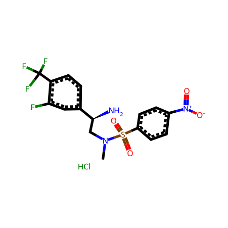 CN(C[C@H](N)c1ccc(C(F)(F)F)c(F)c1)S(=O)(=O)c1ccc([N+](=O)[O-])cc1.Cl